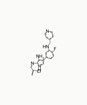 C=C(Cl)/C=N\c1[nH]cc(-c2ccc(F)c(NCc3ccncc3)c2)c1N